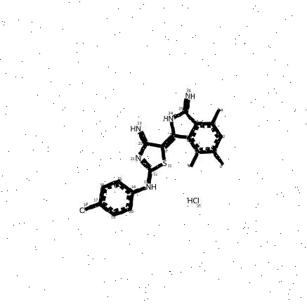 Cc1cc(C)c2c(c1C)C(=C1SC(Nc3ccc(Cl)cc3)=NC1=N)NC2=N.Cl